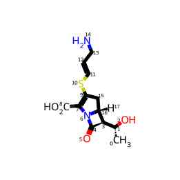 C[C@@H](O)[C@H]1C(=O)N2C(C(=O)O)=C(SC=CCN)C[C@H]12